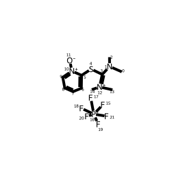 CN(C)C(Sc1cccc[n+]1[O-])=[N+](C)C.F[P-](F)(F)(F)(F)F